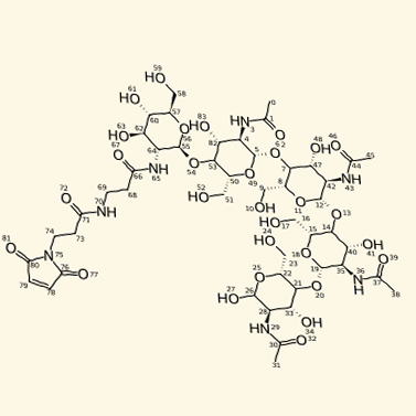 CC(=O)N[C@H]1[C@H](OC2[C@@H](CO)O[C@@H](OC3[C@@H](CO)O[C@@H](OC4[C@@H](CO)OC(O)[C@H](NC(C)=O)[C@H]4O)[C@H](NC(C)=O)[C@H]3O)[C@H](NC(C)=O)[C@H]2O)O[C@H](CO)C(O[C@@H]2O[C@H](CO)[C@@H](O)[C@H](O)[C@H]2NC(=O)CCNC(=O)CCN2C(=O)C=CC2=O)[C@@H]1O